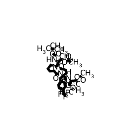 COC(=O)[C@@H](NC(=O)C1(Cc2ccc(C(F)(F)F)cc2)CCCN1C(=O)C1CCCN1C(=O)[C@@H](NC(=O)OC(C)(C)C)[C@@H](C)OC(C)=O)[C@@H](C)OC(C)=O